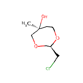 C[C@]1(O)CO[C@@H](CCl)OC1